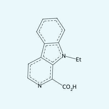 CCn1c2ccccc2c2ccnc(C(=O)O)c21